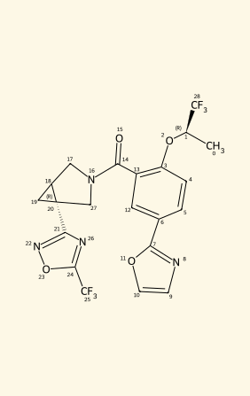 C[C@@H](Oc1ccc(-c2ncco2)cc1C(=O)N1CC2C[C@]2(c2noc(C(F)(F)F)n2)C1)C(F)(F)F